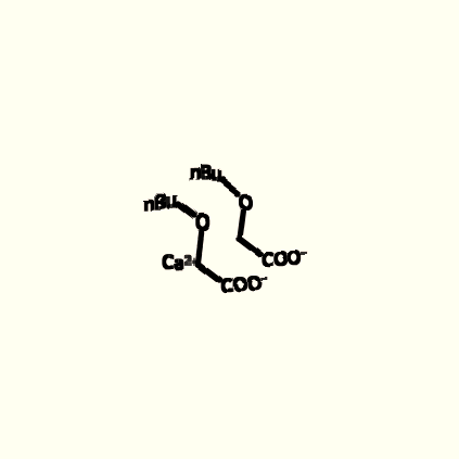 CCCCOCC(=O)[O-].CCCCOCC(=O)[O-].[Ca+2]